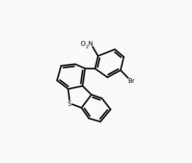 O=[N+]([O-])c1ccc(Br)cc1-c1cccc2sc3ccccc3c12